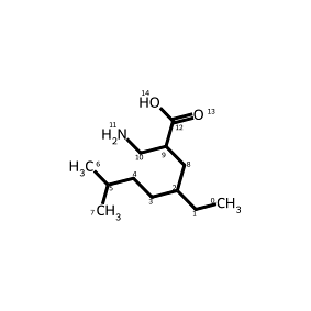 CCC(CCC(C)C)CC(CN)C(=O)O